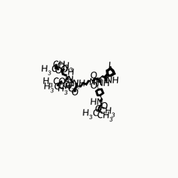 CC(=O)[C@H](CCCCNC(=O)[C@@H](Cc1c[nH]c2ccc(I)cc12)NC(=O)[C@H]1CC[C@H](CNC(=O)OC(C)(C)C)CC1)NC(=O)N[C@@H](CCC(=O)OC(C)(C)C)C(=O)OC(C)(C)C